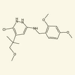 COCC(C)(C)C1=C(Cl)NNC(NCc2ccc(OC)cc2OC)=C1